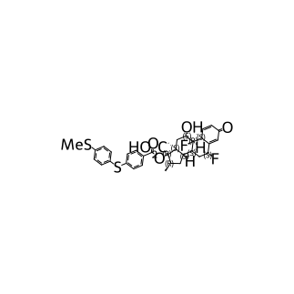 CSc1ccc(Sc2ccc(C(=O)O[C@]3(C(=O)O)[C@H](C)C[C@H]4[C@@H]5C[C@H](F)C6=CC(=O)C=C[C@]6(C)[C@@]5(F)[C@@H](O)C[C@@]43C)cc2)cc1